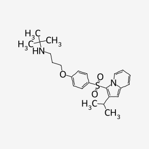 CC(C)c1cc2ccccn2c1S(=O)(=O)c1ccc(OCCCNC(C)(C)C)cc1